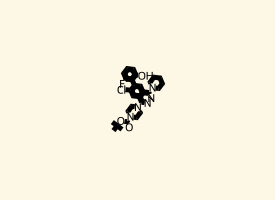 CC(C)(C)OC(=O)N1CCN(c2nnc(N3CCCCC3)c3cc(-c4c(O)cccc4F)c(Cl)cc23)CC1